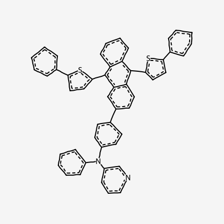 c1ccc(-c2ccc(-c3c4ccccc4c(-c4ccc(-c5ccccc5)s4)c4cc(-c5ccc(N(c6ccccc6)c6cccnc6)cc5)ccc34)s2)cc1